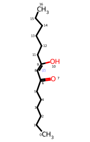 CCCCCCC(=O)/C=C(\O)CCCCCC